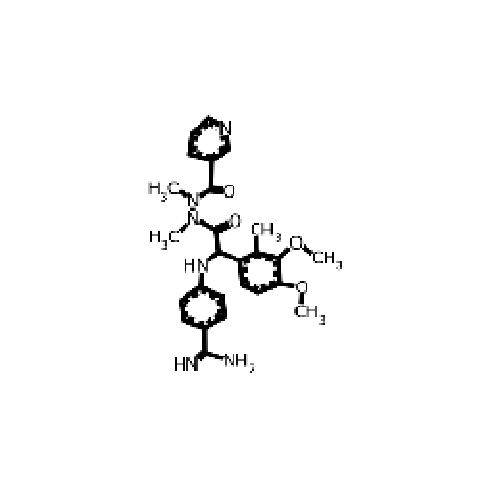 COc1ccc(C(Nc2ccc(C(=N)N)cc2)C(=O)N(C)N(C)C(=O)c2cccnc2)c(C)c1OC